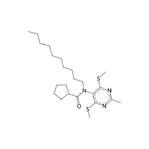 CCCCCCCCCCN(C(=O)C1CCCC1)c1c(SC)nc(C)nc1SC